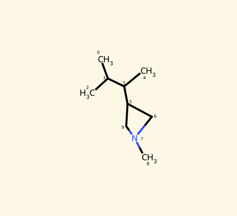 CC(C)C(C)C1CN(C)C1